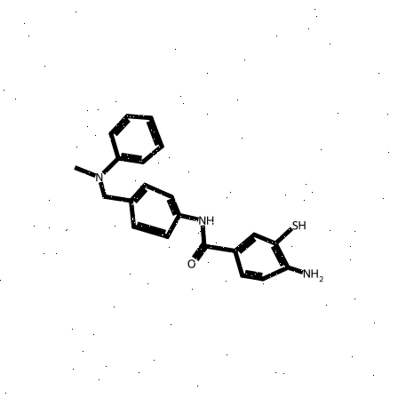 CN(Cc1ccc(NC(=O)c2ccc(N)c(S)c2)cc1)c1ccccc1